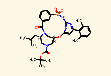 Cc1cccc(C)c1-c1cc2nc(n1)NS(=O)(=O)c1cccc(c1)C(=O)N1C[C@H](CN(C(=O)OC(C)(C)C)C[C@H]1CC(C)C)O2